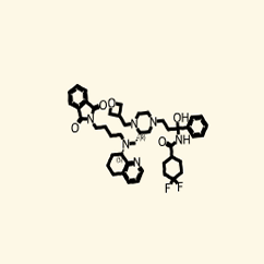 O=C(NC(O)(CCN1CCN(CC2COC2)[C@@H](CN(CCCCN2C(=O)c3ccccc3C2=O)[C@H]2CCCc3cccnc32)C1)c1ccccc1)C1CCC(F)(F)CC1